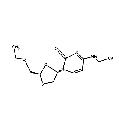 CCNc1ccn([C@H]2CS[C@@H](COCC)O2)c(=O)n1